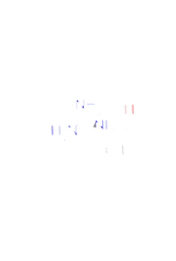 CC=CO.N=C(N)N